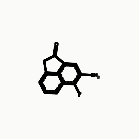 Nc1cc2c3c(cccc3c1F)CC2=O